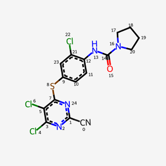 N#Cc1nc(Cl)c(Cl)c(Sc2ccc(NC(=O)N3CCCC3)c(Cl)c2)n1